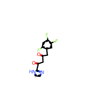 O=C(CC(=O)c1ncc[nH]1)Cc1cc(F)c(F)cc1F